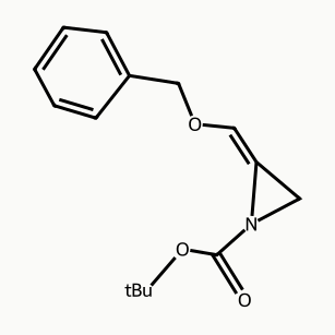 CC(C)(C)OC(=O)N1C/C1=C/OCc1ccccc1